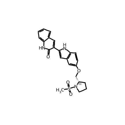 CS(=O)(=O)N1CCC[C@H]1COc1ccc2[nH]c(-c3cc4ccccc4[nH]c3=O)cc2c1